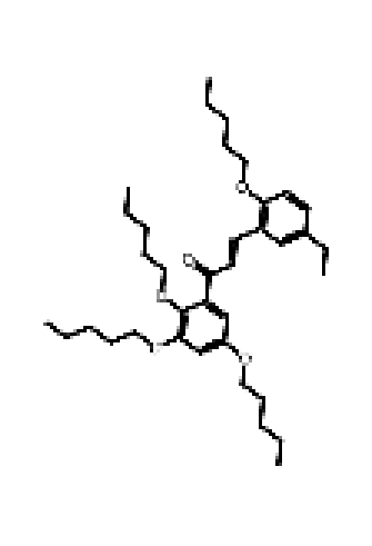 CCCCCOc1cc(OCCCCC)c(OCCCCC)c(C(=O)C=Cc2cc(CC)ccc2OCCCCC)c1